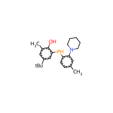 Cc1ccc(Pc2cc(C(C)(C)C)cc(C)c2O)c(N2CCCCC2)c1